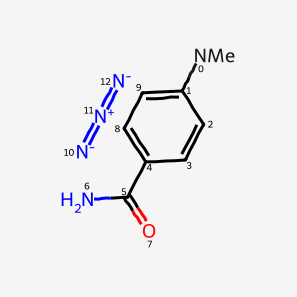 CNc1ccc(C(N)=O)cc1.[N-]=[N+]=[N-]